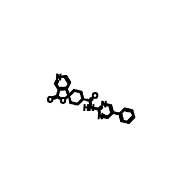 O=C1O[C@]2(CC[C@H](C(=O)Nc3ncc(-c4ccccc4)cn3)CC2)c2ccncc21